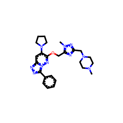 CN1CCN(Cc2nc(COc3nn4c(-c5ccccc5)nnc4cc3N3CCCC3)n(C)n2)CC1